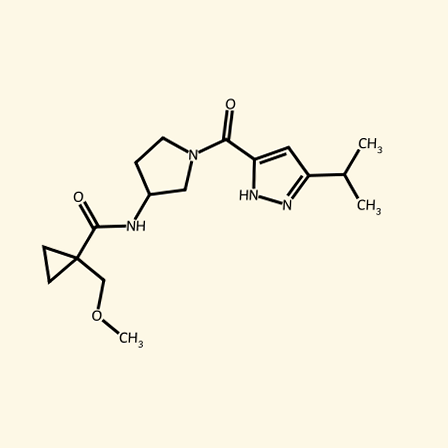 COCC1(C(=O)NC2CCN(C(=O)c3cc(C(C)C)n[nH]3)C2)CC1